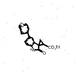 CCOC(=O)C1CC12C(=O)Nc1ccc(-c3ccccc3)cc12